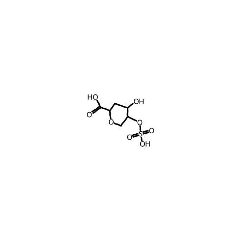 O=C(O)C1CC(O)C(OS(=O)(=O)O)CO1